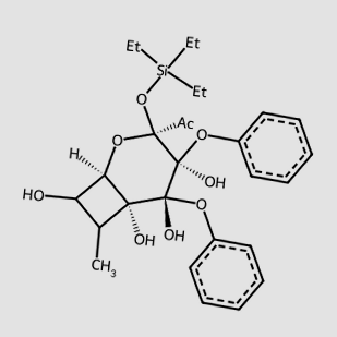 CC[Si](CC)(CC)O[C@]1(C(C)=O)O[C@@H]2C(O)C(C)[C@]2(O)[C@@](O)(Oc2ccccc2)[C@]1(O)Oc1ccccc1